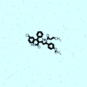 CCCC(=O)N1N=C(c2c(-c3ccccc3)c3cc(Cl)ccc3[nH]c2=O)CC1c1ccc(OC)cc1